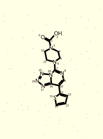 O=C(O)N1CCN(c2ncc(-c3cccs3)c3nnnn23)CC1